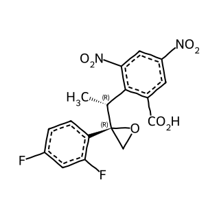 C[C@H](c1c(C(=O)O)cc([N+](=O)[O-])cc1[N+](=O)[O-])[C@@]1(c2ccc(F)cc2F)CO1